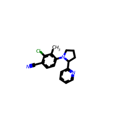 Cc1c(N2CCCC2c2ccccn2)ccc(C#N)c1Cl